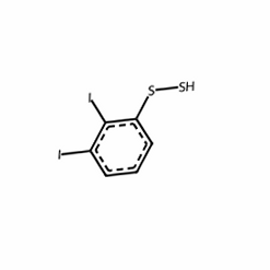 SSc1cccc(I)c1I